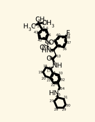 CC(C)(C)c1ccc(S(=O)(=O)N[C@H](CC(=O)N[C@@H]2CCCc3cc(CNC4CCCCC4)ccc32)c2ccc(F)cc2)cc1